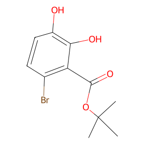 CC(C)(C)OC(=O)c1c(Br)ccc(O)c1O